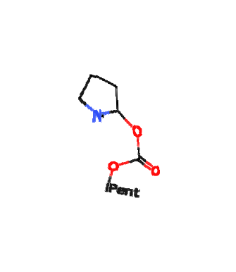 CCCC(C)OC(=O)OC1CCC[N]1